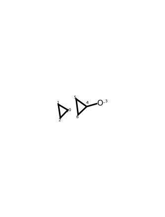 [CH]1CC1.[O]C1CC1